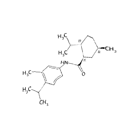 Cc1cc(NC(=O)[C@@H]2C[C@H](C)CC[C@H]2C(C)C)ccc1C(C)C